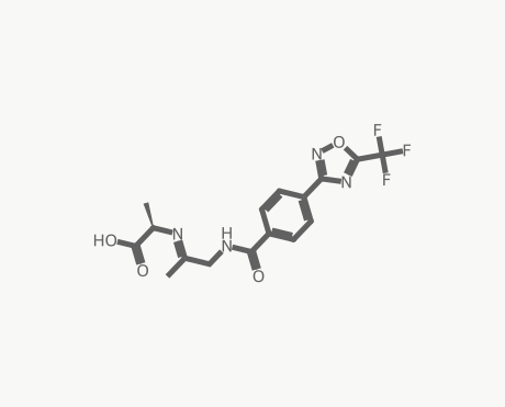 CC(CNC(=O)c1ccc(-c2noc(C(F)(F)F)n2)cc1)=N[C@H](C)C(=O)O